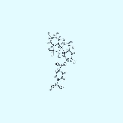 COC(=O)c1ccc(C(=O)Oc2c(C)cc3c(c2C)C2(CC(C)(C)c4cc(C)c(C)c(C)c42)CC3(C)C)cc1